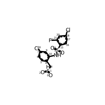 O=[SH](=O)Cc1ccc(Cl)cc1NS(=O)(=O)c1ccc(Cl)cc1F